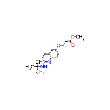 COC(=O)CCOc1ccc2nc(NC(C)(C)C)ccc2c1